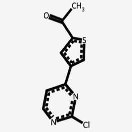 CC(=O)c1cc(-c2ccnc(Cl)n2)cs1